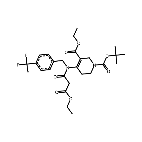 CCOC(=O)CC(=O)N(Cc1ccc(C(F)(F)F)cc1)C1=C(C(=O)OCC)CN(C(=O)OC(C)(C)C)CC1